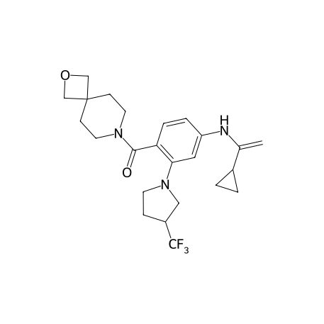 C=C(Nc1ccc(C(=O)N2CCC3(CC2)COC3)c(N2CCC(C(F)(F)F)C2)c1)C1CC1